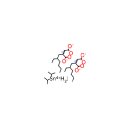 CCCCC(CC)C/C(=C/C(=O)[O-])C(=O)[O-].CCCCC(CC)C/C(=C/C(=O)[O-])C(=O)[O-].C[CH](C)[SnH2+4][CH](C)C